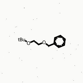 CC(C)(C)OCCO[CH]c1ccccc1